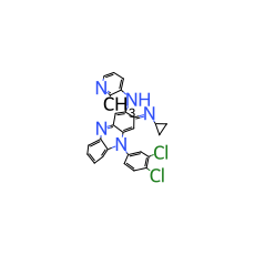 Cc1ncccc1Nc1cc2nc3ccccc3n(-c3ccc(Cl)c(Cl)c3)c-2c/c1=N\C1CC1